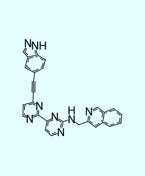 C(#Cc1ccnc(-c2ccnc(NCc3cc4ccccc4cn3)n2)n1)c1ccc2[nH]ncc2c1